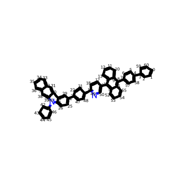 c1ccc(-c2ccc(-c3c4ccccc4c(-c4ccc(-c5ccc(-c6ccc7c(c6)c6cc8ccccc8cc6n7-c6ccccc6)cc5)nc4)c4ccccc34)cc2)cc1